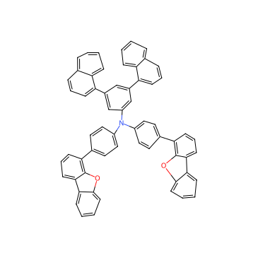 c1ccc2c(-c3cc(-c4cccc5ccccc45)cc(N(c4ccc(-c5cccc6c5oc5ccccc56)cc4)c4ccc(-c5cccc6c5oc5ccccc56)cc4)c3)cccc2c1